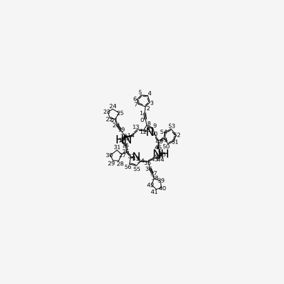 C(#Cc1ccccc1)C1=Cc2nc1cc1[nH]c(cc1C#CC1CCCC1)c(C1CCCC1)c1nc(c(C#CC3CCCC3)c3ccc([nH]3)c2-c2ccccc2)C=C1